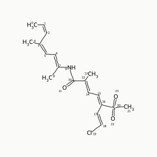 C\C=C/C(C)=C\C=C(/C)NC(=O)/C(C)=C/C=C(\C=C\Cl)S(C)(=O)=O